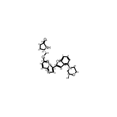 C[C@H]1CN(c2cccc3oc(-c4cnc5ccc(OC[C@@H]6CCC(=O)N6)nn45)cc23)CCO1